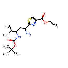 CCOC(=O)c1csc(C(N)CC(NC(=O)OC(C)(C)C)C(C)C)n1